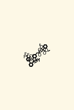 CCOC(=O)C(COC(=O)Cc1ccc(NC(=O)c2ccccc2-c2ccc(C(F)(F)F)c(Cl)c2)c(C(=O)N(C)C)c1)(C(=O)OCC)c1ccccc1